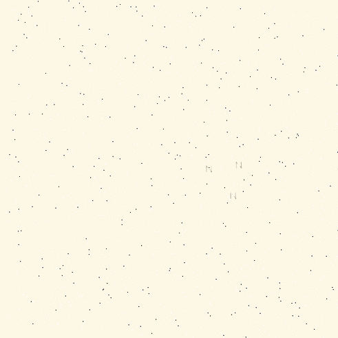 CN1C(n2c3ccccc3c3ccc(-c4ccccc4)cc32)=NC=CC1c1cccc(-c2ccc(-c3ccccc3)cc2)c1